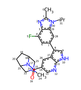 Cc1nc2c(F)cc(-c3c[nH]c4ncc(C(=O)N5C6CCC5CN(C)C6)cc34)cc2n1C(C)C